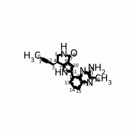 CC#CC[C@H]1CNC(=O)c2cc(-c3cccc4nc(C)c(N)nc34)[nH]c21